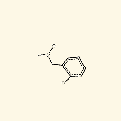 C[S+]([O-])Cc1ccccc1Cl